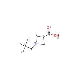 CC(C)(C)CN1CC(C(=O)O)C1